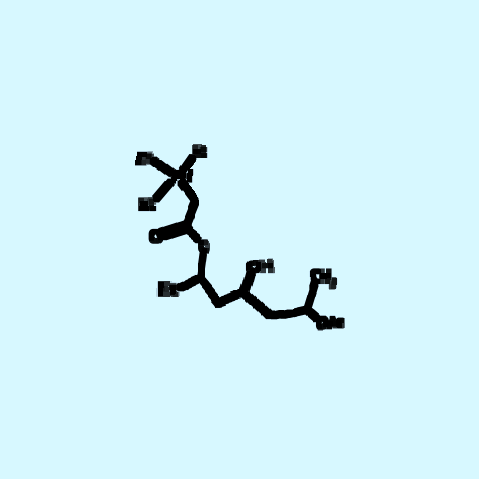 CCC(CC(O)CC(C)OC(C)=O)OC(=O)C[PH](CC)(CC)CC